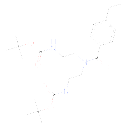 CCc1ccc(C(=O)N(CCNC(=O)OC(C)(C)C)CCNC(=O)OC(C)(C)C)cc1